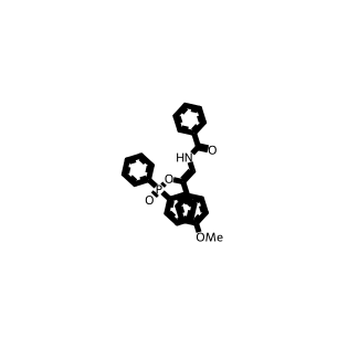 COc1ccc(C(=CNC(=O)c2ccccc2)OP(=O)(c2ccccc2)c2ccccc2)cc1